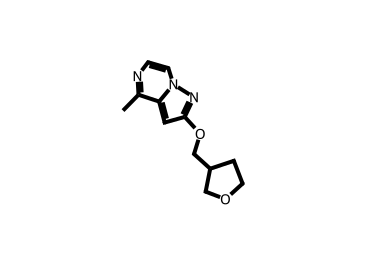 Cc1nccn2nc(OCC3CCOC3)cc12